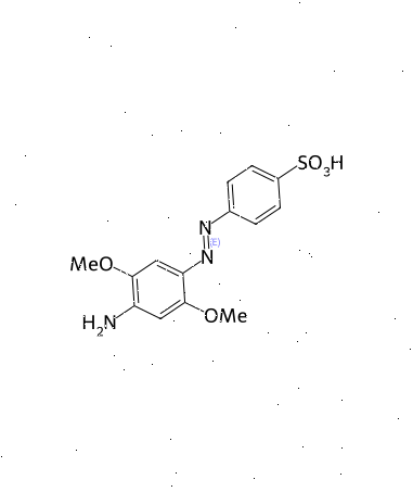 COc1cc(/N=N/c2ccc(S(=O)(=O)O)cc2)c(OC)cc1N